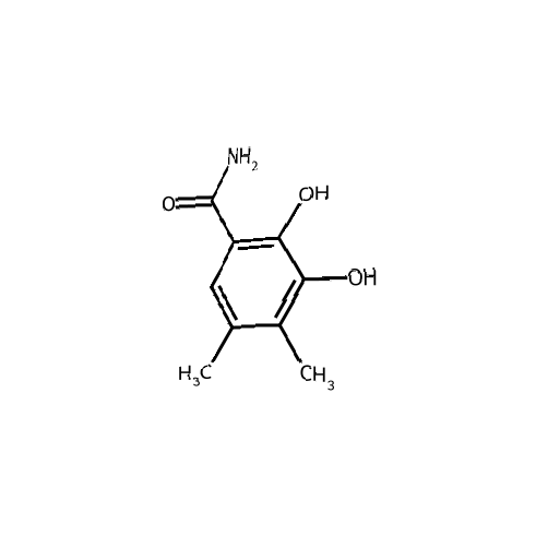 Cc1cc(C(N)=O)c(O)c(O)c1C